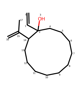 C=CC1(O)CCCCCCCCCCC1C(=C)C